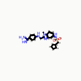 Cn1c(CNc2ccc(C(=N)N)cc2)nc2cc(NS(=O)(=O)CC3CCCC3)ccc21